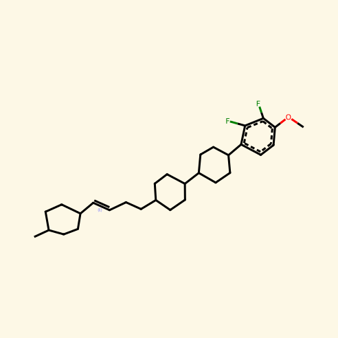 COc1ccc(C2CCC(C3CCC(CC/C=C/C4CCC(C)CC4)CC3)CC2)c(F)c1F